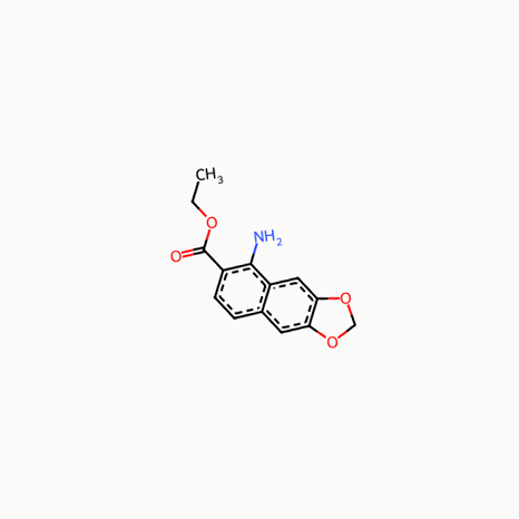 CCOC(=O)c1ccc2cc3c(cc2c1N)OCO3